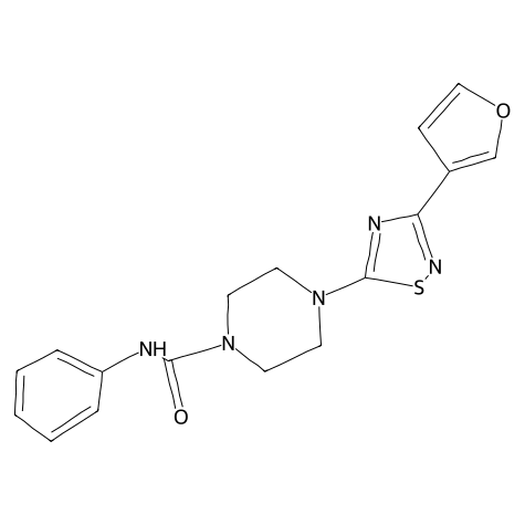 O=C(Nc1ccccc1)N1CCN(c2nc(-c3ccoc3)ns2)CC1